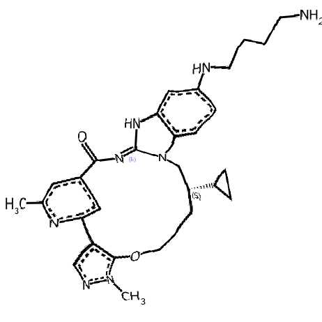 Cc1cc2cc(n1)-c1cnn(C)c1OCCC[C@@H](C1CC1)CN1/C(=N/C2=O)Nc2cc(NCCCCN)ccc21